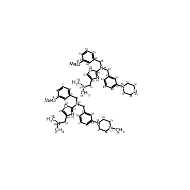 COc1cccc(CN(Cc2cccc(N3CCN(C)CC3)c2)c2nc(CN(C)C)co2)c1.COc1cccc(CN(Cc2cccc(N3CCOCC3)c2)c2nc(CN(C)C)co2)c1